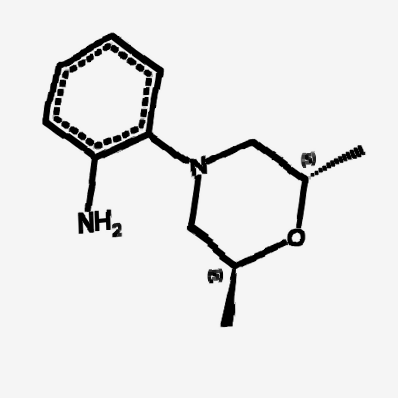 C[C@H]1CN(c2ccccc2N)C[C@H](C)O1